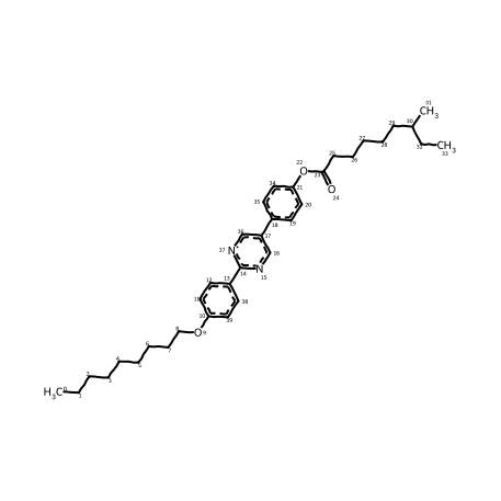 CCCCCCCCCOc1ccc(-c2ncc(-c3ccc(OC(=O)CCCCCC(C)CC)cc3)cn2)cc1